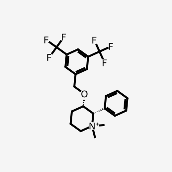 C[N+]1(C)CCC[C@H](OCc2cc(C(F)(F)F)cc(C(F)(F)F)c2)[C@@H]1c1ccccc1